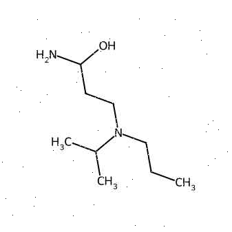 CCCN(CCC(N)O)C(C)C